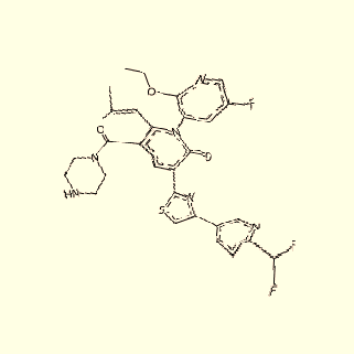 CCOc1ncc(F)cc1-n1c(C=C(C)C)c(C(=O)N2CCNCC2)cc(-c2nc(-c3ccc(C(F)F)nc3)cs2)c1=O